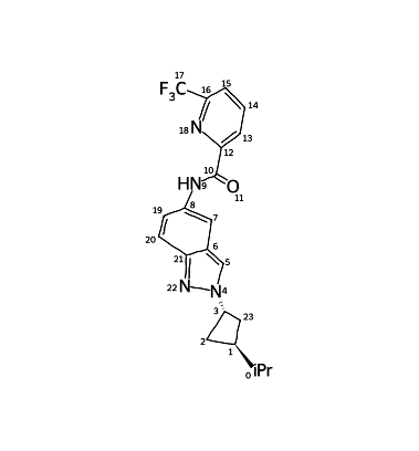 CC(C)[C@H]1C[C@H](n2cc3cc(NC(=O)c4cccc(C(F)(F)F)n4)ccc3n2)C1